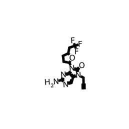 C#CCn1c(=O)n(C2CCC(CC(F)(F)F)O2)c2nc(N)ncc21